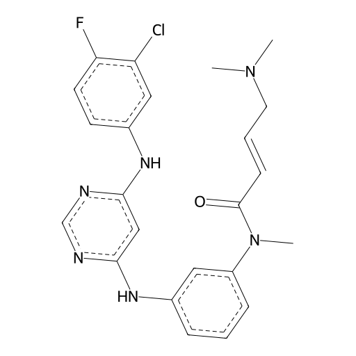 CN(C)C/C=C/C(=O)N(C)c1cccc(Nc2cc(Nc3ccc(F)c(Cl)c3)ncn2)c1